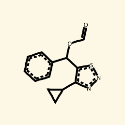 O=COC(c1ccccc1)c1snnc1C1CC1